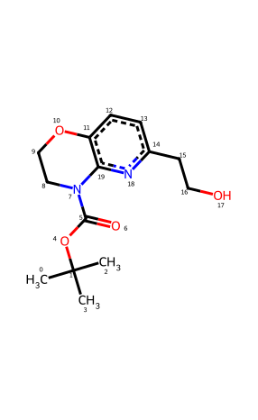 CC(C)(C)OC(=O)N1CCOc2ccc(CCO)nc21